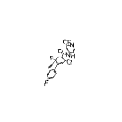 C#CC1(F)CC(C(=O)Nc2ccnc(C(F)(F)F)c2)=C(Cl)C=C1c1ccc(F)cc1